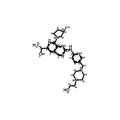 CC(O)c1cc2cnc(Nc3ccc(CN4CCN(CCO)CC4)cn3)nc2c(N2CC[C@@H](F)C2)n1